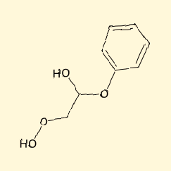 OOCC(O)Oc1ccccc1